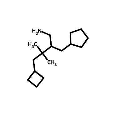 CC(C)(CC1CCC1)C(CN)CC1CCCC1